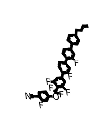 C=CCCc1ccc(-c2ccc(-c3ccc(-c4cc(F)c(C(F)(F)Oc5ccc(C#N)c(F)c5)c(F)c4)c(F)c3)c(F)c2)cc1